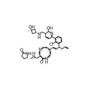 C=CCC(/C=C/c1ccncc(CNC[C@@H]2CCC(=O)N2)c(=O)[nH]cc1)c1cccc(C2=NC(O)C(CN[C@H]3C[C@](C)(O)C3)C=C2)c1Cl